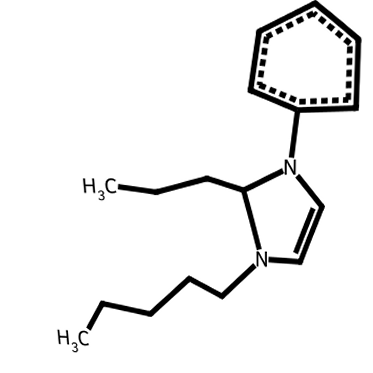 CCCCCN1C=CN(c2ccccc2)C1CCC